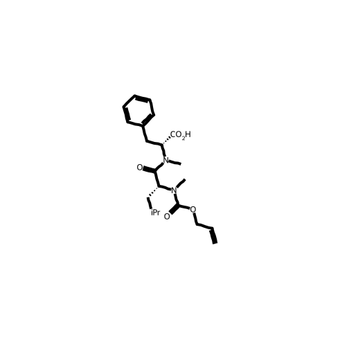 C=CCOC(=O)N(C)[C@H](CC(C)C)C(=O)N(C)[C@H](Cc1ccccc1)C(=O)O